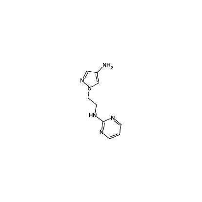 Nc1cnn(CCNc2ncccn2)c1